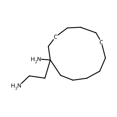 NCCC1(N)CCCCCCCCCCC1